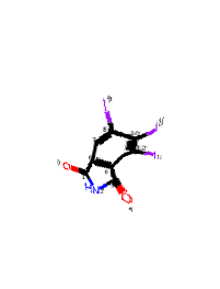 O=C1NC(=O)c2c1cc(I)c(I)c2I